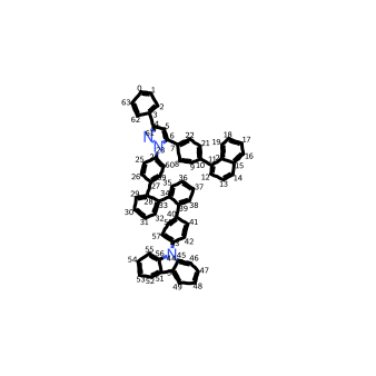 c1ccc(-c2cc(-c3ccc(-c4cccc5ccccc45)cc3)n(-c3ccc(-c4ccccc4-c4ccccc4-c4ccc(-n5c6ccccc6c6ccccc65)cc4)cc3)n2)cc1